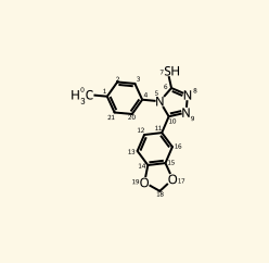 Cc1ccc(-n2c(S)nnc2-c2ccc3c(c2)OCO3)cc1